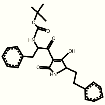 CC(C)(C)OC(=O)NC(Cc1ccccc1)C(=O)C1=C(O)C(CCc2ccccc2)NC1=O